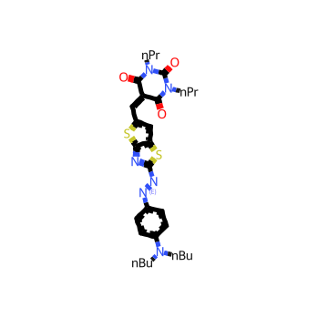 CCCCN(CCCC)c1ccc(/N=N/c2nc3sc(C=C4C(=O)N(CCC)C(=O)N(CCC)C4=O)cc3s2)cc1